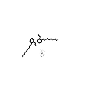 CC=Cc1c(CCCCCCCCC)cccc1Oc1cccc(CCCCCCCCC)c1C=CC.N.N.O=S(=O)(O)O